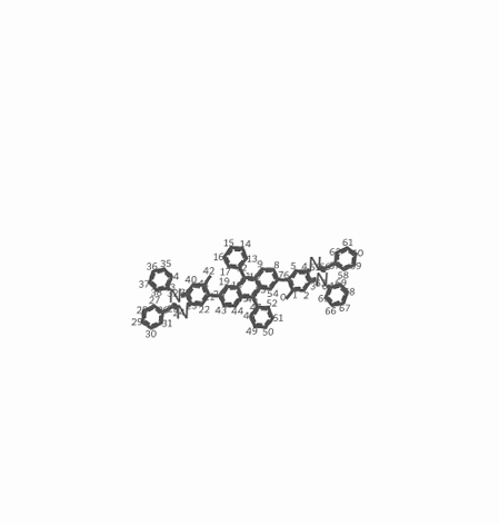 Cc1cc2c(cc1-c1ccc3c(-c4ccccc4)c4cc(-c5cc6nc(-c7ccccc7)n(-c7ccccc7)c6cc5C)ccc4c(-c4ccccc4)c3c1)nc(-c1ccccc1)n2-c1ccccc1